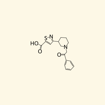 O=C(CN1CCCC(c2cc(C(=O)O)sn2)C1)c1ccccc1